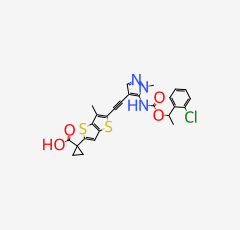 Cc1c(C#Cc2cnn(C)c2NC(=O)OC(C)c2ccccc2Cl)sc2cc(C3(C(=O)O)CC3)sc12